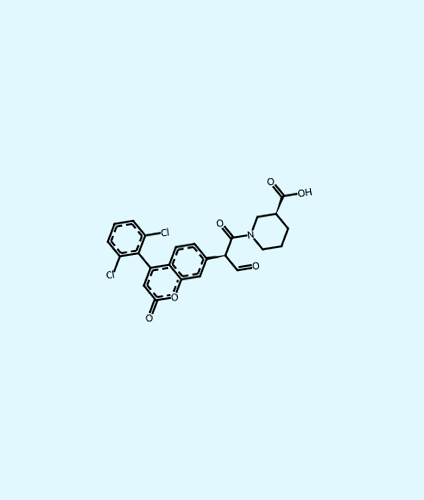 O=C[C@H](C(=O)N1CCC[C@H](C(=O)O)C1)c1ccc2c(-c3c(Cl)cccc3Cl)cc(=O)oc2c1